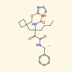 CCCCC(CC1(COc2nccs2)CCC1)(NC(=O)O)C(=O)C(=O)N[C@H](C)c1ccccc1